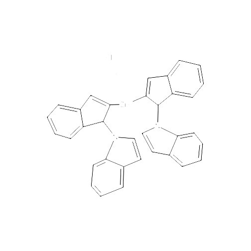 C1=[C]([Zr+2][C]2=Cc3ccccc3C2n2ccc3ccccc32)C(n2ccc3ccccc32)c2ccccc21.[Cl-].[Cl-]